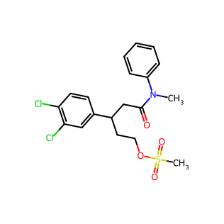 CN(C(=O)CC(CCOS(C)(=O)=O)c1ccc(Cl)c(Cl)c1)c1ccccc1